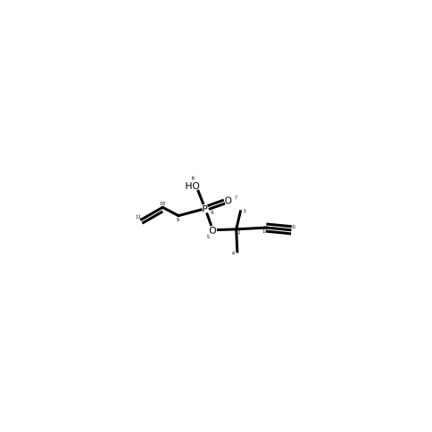 C#CC(C)(C)OP(=O)(O)CC=C